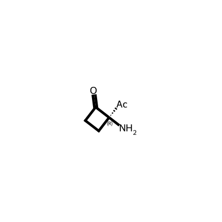 CC(=O)[C@]1(N)CCC1=O